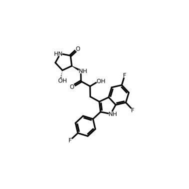 O=C(N[C@@H]1C(=O)NC[C@H]1O)C(O)Cc1c(-c2ccc(F)cc2)[nH]c2c(F)cc(F)cc12